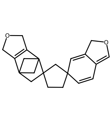 C1=CC2(C=C3COC=C13)CCC1(C2)CC23CC1(C2)C1=C3COC1